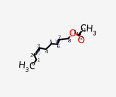 CC/C=C\CC/C=C/COC(C)=O